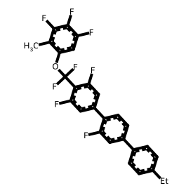 CCc1ccc(-c2ccc(-c3cc(F)c(C(F)(F)Oc4cc(F)c(F)c(F)c4C)c(F)c3)c(F)c2)cc1